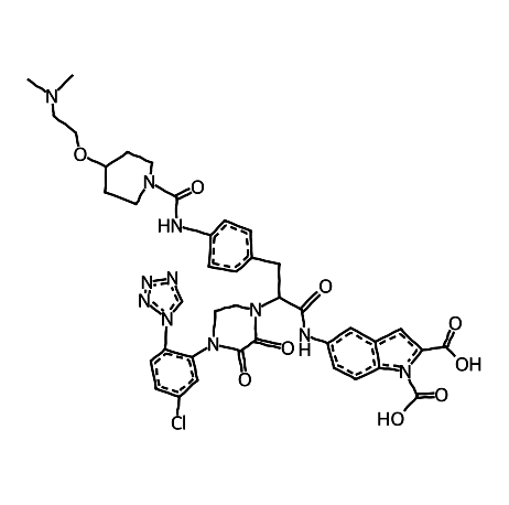 CN(C)CCOC1CCN(C(=O)Nc2ccc(CC(C(=O)Nc3ccc4c(c3)cc(C(=O)O)n4C(=O)O)N3CCN(c4cc(Cl)ccc4-n4cnnn4)C(=O)C3=O)cc2)CC1